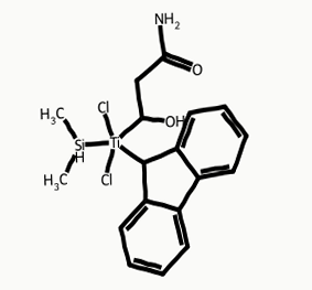 C[SiH](C)[Ti]([Cl])([Cl])([CH](O)CC(N)=O)[CH]1c2ccccc2-c2ccccc21